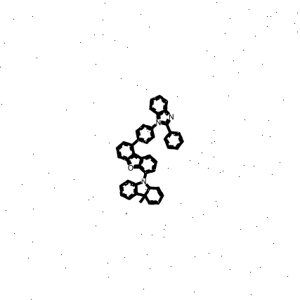 CC12C=CC=CC1N(c1cccc3c1oc1cccc(-c4ccc(-n5c(-c6ccccc6)nc6ccccc65)cc4)c13)c1ccccc12